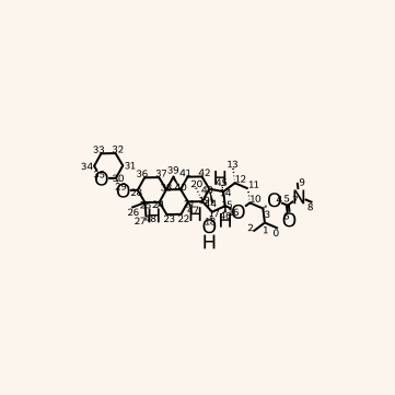 CC(C)[C@@H](OC(=O)N(C)C)[C@H]1C[C@@H](C)[C@H]2[C@H](O1)[C@H](O)[C@@]1(C)[C@@H]3CC[C@H]4C(C)(C)C(O[C@H]5CCCCO5)CCC45C[C@@]35CC[C@]21C